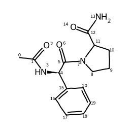 CC(=O)N[C@@H](C(=O)N1CCCC1C(N)=O)c1ccccc1